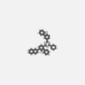 C1=CC(c2nc(-c3ccc4oc5ccccc5c4c3)nc(-c3ccc(-c4ccc5ccccc5c4)c4oc5ccccc5c34)n2)=CCC1